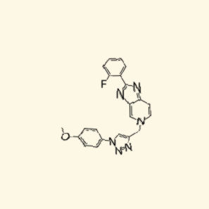 COc1ccc(-n2cc(Cn3ccc4nc(-c5ccccc5F)nc-4c3)nn2)cc1